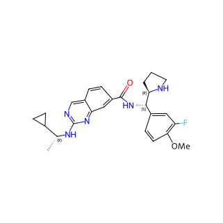 COc1ccc([C@H](NC(=O)c2ccc3cnc(N[C@H](C)C4CC4)nc3c2)[C@H]2CCCN2)cc1F